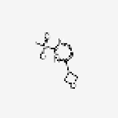 CS(=O)(=O)c1nccc(C2COC2)n1